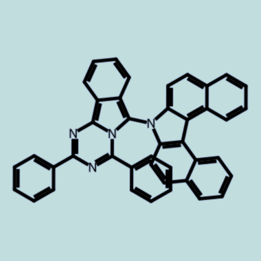 c1ccc(-c2nc(-c3ccccc3)n3c(-n4c5ccc6ccccc6c5c5c6ccccc6ccc54)c4ccccc4c3n2)cc1